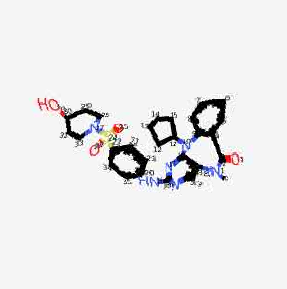 CN1C(=O)c2ccccc2N(C2CCCC2)c2nc(Nc3ccc(S(=O)(=O)N4CCC(O)CC4)cc3)ncc21